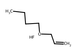 C=CCOCCCC.F